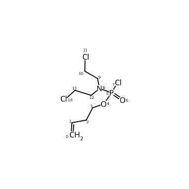 C=CCCOP(=O)(Cl)N(CCCl)CCCl